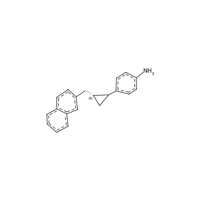 Nc1ccc(C2C[C@@H]2Cc2ccc3ccccc3c2)cc1